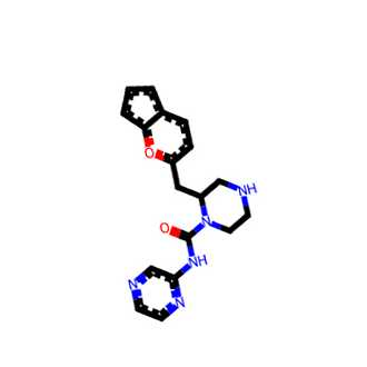 O=C(Nc1cnccn1)N1CCNCC1Cc1ccc2cccc-2o1